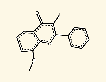 COc1cccc2c(=O)c(I)c(-c3ccccc3)oc12